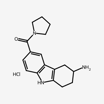 Cl.NC1CCc2[nH]c3ccc(C(=O)N4CCCC4)cc3c2C1